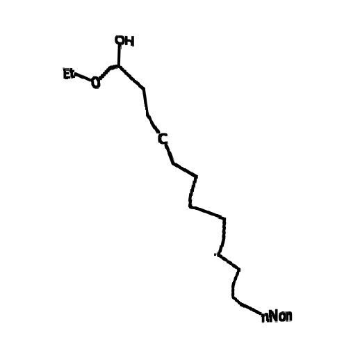 CCCCCCCCCCC[CH]CCCCCCCC(O)OCC